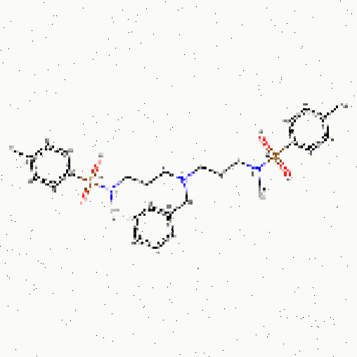 CCN(CCCN(CCCN(CC)S(=O)(=O)c1ccc(C)cc1)Cc1ccccc1)S(=O)(=O)c1ccc(C)cc1